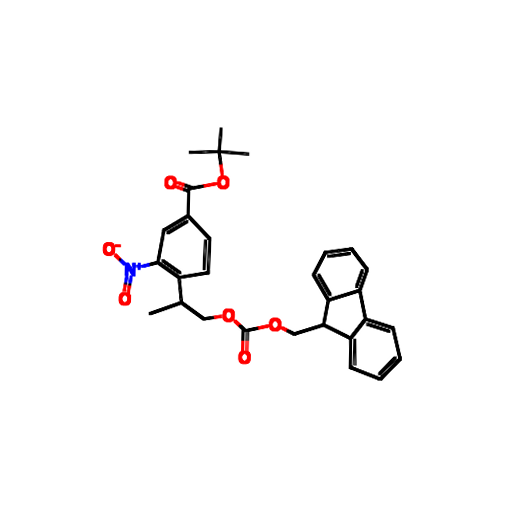 CC(COC(=O)OCC1c2ccccc2-c2ccccc21)c1ccc(C(=O)OC(C)(C)C)cc1[N+](=O)[O-]